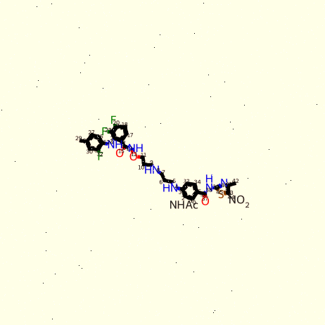 CC(=O)Nc1cc(NCCCNCCCONC(=O)c2ccc(F)c(F)c2Nc2ccc(C)cc2F)ccc1C(=O)Nc1nc(C)c([N+](=O)[O-])s1